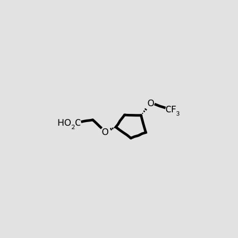 O=C(O)CO[C@H]1CC[C@@H](OC(F)(F)F)C1